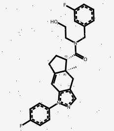 C[C@]12Cc3cnn(-c4ccc(F)cc4)c3C=C1CC[C@@H]2C(=O)N(CCO)Cc1cccc(F)c1